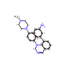 CN1CCN(c2ccc(N3CN=Cc4cccc(-c5cccc(N)c5)c43)cc2)CC1